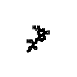 CCOC(=O)C(O)CCn1cnc2c(Cl)nc(N)nc21